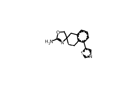 NC1=NC2(CCc3c(cccc3-c3cncs3)C2)CO1